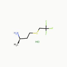 C[C@@H](N)CCSCC(F)(F)F.Cl